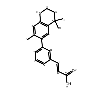 Cc1cc2c(cc1-c1cccc(C=CC(=O)O)c1)C(C)(C)CCS2